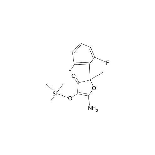 CC1(c2c(F)cccc2F)OC(N)=C(O[Si](C)(C)C)C1=O